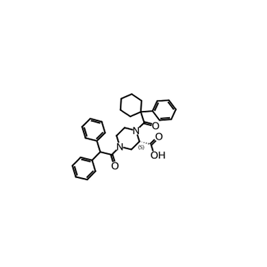 O=C(O)[C@@H]1CN(C(=O)C(c2ccccc2)c2ccccc2)CCN1C(=O)C1(c2ccccc2)CCCCC1